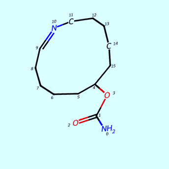 NC(=O)OC1CCCCC=NCCCCC1